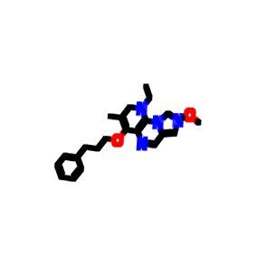 CCN1CC(C)=C(OCCCc2ccccc2)C2=C1N1CN(OC)C=C1C=N2